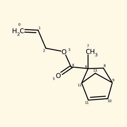 C=CCOC(=O)C1(C)CC2C=CC1C2